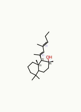 CC/C=C(C)/C=C(\C)[C@@H]1[C@@]2(C)CCCC(C)(C)C2CC[C@@]1(C)O